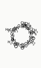 CC[C@H](C)[C@@H]1NC(=O)[C@H](CC(C)C)N(C)C(=O)[C@H](Cc2ccccc2)NC(=O)[C@@H](C)N(C)C(=O)C[C@@H](C(=O)N2CCCCC2)NC(=O)[C@H](Cc2ccccc2)NC(=O)[C@H](C(C)O)NC(=O)[C@@H]2CCCN2C(=O)[C@H](CC(C)C)N(C)C(=O)CNC(=O)[C@H](CC(C)C)N(C)C1=O